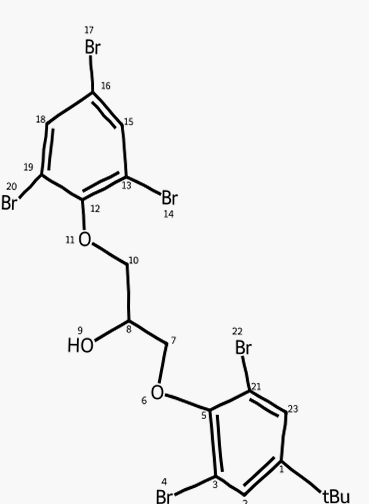 CC(C)(C)c1cc(Br)c(OCC(O)COc2c(Br)cc(Br)cc2Br)c(Br)c1